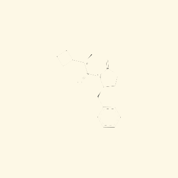 C[C@@H](C(=O)N1C(=O)OC[C@H]1Cc1ccccc1)C1CCC1